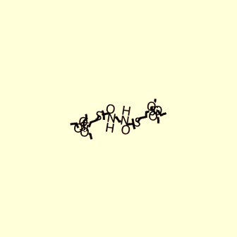 CCO[Si](CCCSC(C)(C)C(=O)NCCNC(=O)C(C)(C)SCCC[Si](OCC)(OCC)OCC)(OCC)OCC